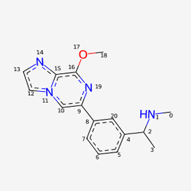 CNC(C)c1cccc(-c2cn3ccnc3c(OC)n2)c1